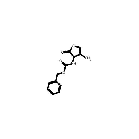 CC1COC(=O)C1NC(=O)OCc1ccccc1